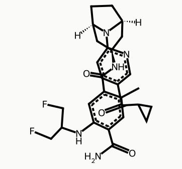 Cc1cc(C(N)=O)c(NC(CF)CF)cc1C(=O)N[C@H]1C[C@H]2CC[C@@H](C1)N2c1ccc(C(=O)C2CC2)cn1